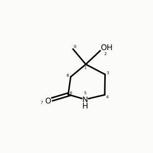 CC1(O)CCNC(=O)C1